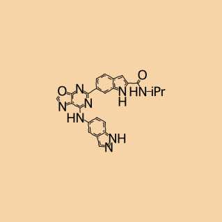 CC(C)NC(=O)c1cc2ccc(-c3nc(Nc4ccc5[nH]ncc5c4)c4ncoc4n3)cc2[nH]1